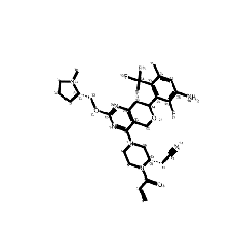 C=CC(=O)N1CCN(c2nc(OC[C@@H]3CCCN3C)nc3c2COC(c2c(F)c(N)cc(C)c2C(F)(F)F)C3)C[C@@H]1CC#N